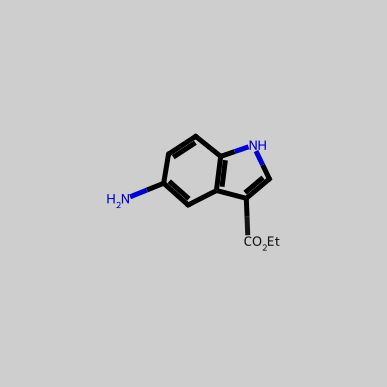 CCOC(=O)c1c[nH]c2ccc(N)cc12